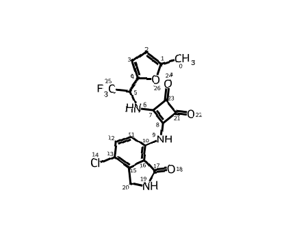 Cc1ccc(C(Nc2c(Nc3ccc(Cl)c4c3C(=O)NC4)c(=O)c2=O)C(F)(F)F)o1